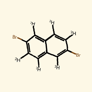 [2H]c1c(Br)c([2H])c2c([2H])c([2H])c(Br)c([2H])c2c1[2H]